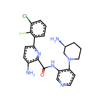 Nc1ccc(-c2cccc(Cl)c2F)nc1C(=O)Nc1cnccc1N1CCC[C@H](N)C1